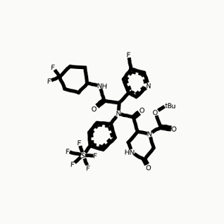 CC(C)(C)OC(=O)N1CC(=O)NCC1C(=O)N(c1ccc(S(F)(F)(F)(F)F)cc1)C(C(=O)NC1CCC(F)(F)CC1)c1cncc(F)c1